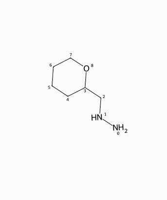 NNCC1CCCCO1